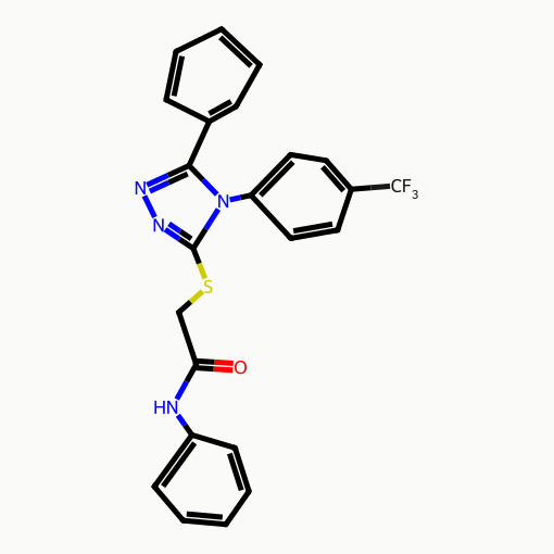 O=C(CSc1nnc(-c2ccccc2)n1-c1ccc(C(F)(F)F)cc1)Nc1ccccc1